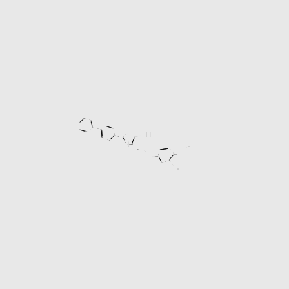 CCCc1cc(OCCc2nc(-c3ccc(-c4ccccc4)cc3)oc2C)ccc1OCC(=O)O